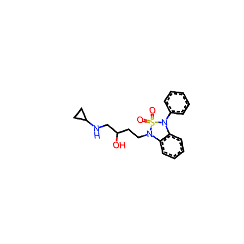 O=S1(=O)N(CCC(O)CNC2CC2)c2ccccc2N1c1ccccc1